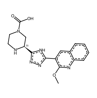 COc1nc2ccccc2cc1-c1nnc([C@@H]2CN(C(=O)O)CCN2)[nH]1